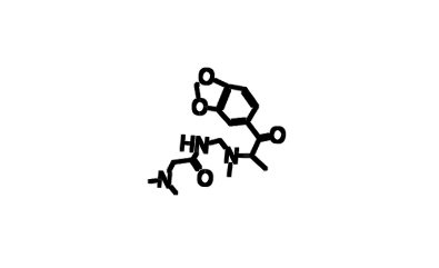 CC(C(=O)c1ccc2c(c1)OCO2)N(C)CNC(=O)CN(C)C